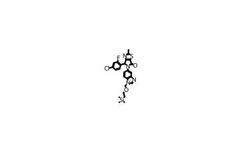 Cc1nc2c(s1)C(=O)N(c1ccc3c(c1)ncn3COCC[Si](C)(C)C)C2c1ccc(Cl)cc1F